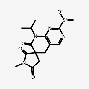 CC(C)N1C(=O)C2(CC(=O)N(C)C2=O)Cc2cnc([S+](C)[O-])nc21